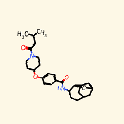 CC(C)CC(=O)N1CCC(Oc2ccc(C(=O)NC3CCC4CC5CC(C4)C3C5)cc2)CC1